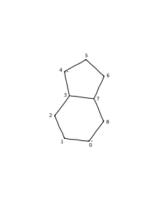 [CH]1CCC2[CH]CCC2C1